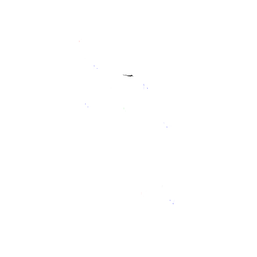 CN1CCc2ccc(CNC3CCN(C[C@@H]4Cn5c(=O)ccc6ncc(Cl)c4c65)CC3)cc2C1=O